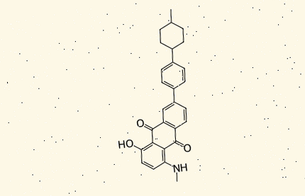 CNc1ccc(O)c2c1C(=O)c1ccc(-c3ccc(C4CCC(C)CC4)cc3)cc1C2=O